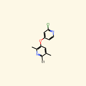 CCc1nc(C)c(Oc2ccnc(Cl)c2)cc1C